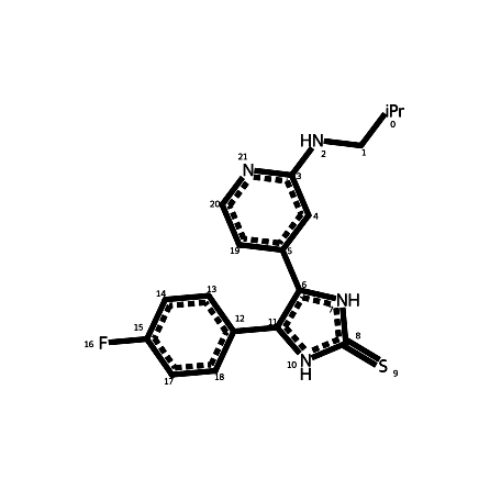 CC(C)CNc1cc(-c2[nH]c(=S)[nH]c2-c2ccc(F)cc2)ccn1